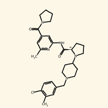 Cc1cc(C(=O)N2CCCC2)cc(NC(=O)[C@H]2CCCN2C2CCN(Cc3ccc(Cl)c(C)c3)CC2)n1